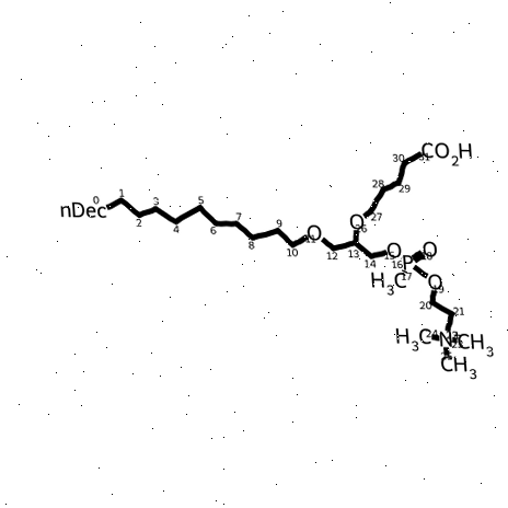 CCCCCCCCCCCCCCCCCCCCOCC(COP(C)(=O)OCC[N+](C)(C)C)OCCCCC(=O)O